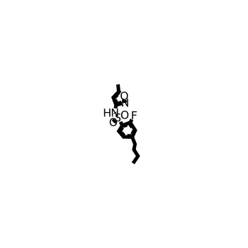 CCCCc1ccc(S(=O)(=O)Nc2cc(C)on2)c(F)c1